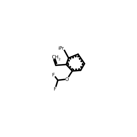 [CH2]C(C)c1cccc(OC(F)F)c1C=C